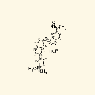 CC(=NO)c1ccc2nnc(Sc3ccc4ncc(N5CCC(N(C)C)C5)cc4c3)n2c1.Cl